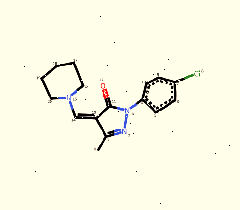 CC1=NN(c2ccc(Cl)cc2)C(=O)C1=CN1CCCCC1